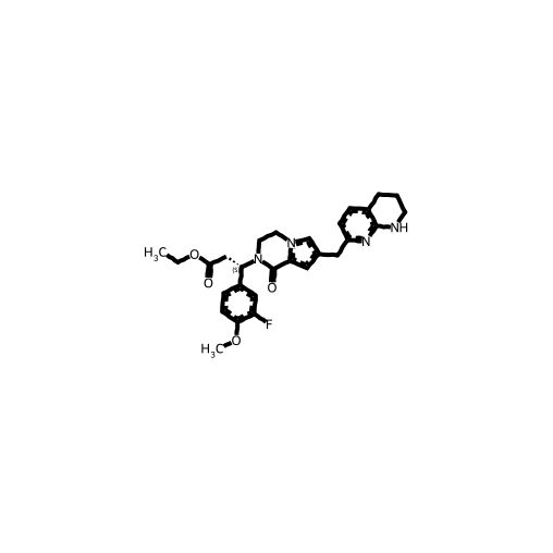 CCOC(=O)C[C@@H](c1ccc(OC)c(F)c1)N1CCn2cc(Cc3ccc4c(n3)NCCC4)cc2C1=O